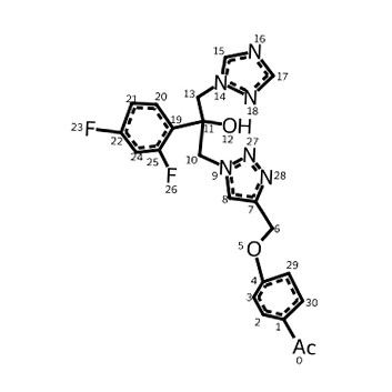 CC(=O)c1ccc(OCc2cn(CC(O)(Cn3cncn3)c3ccc(F)cc3F)nn2)cc1